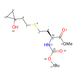 COC(=O)[C@H](CCSCCC1(O)CC1)NC(=O)OC(C)(C)C